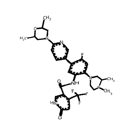 CC1CN(c2ccc(-c3cc(NC(=O)c4c[nH]c(=O)cc4C(F)(F)F)c(N4CCN(C)C(C)C4)cc3F)cn2)CC(C)O1